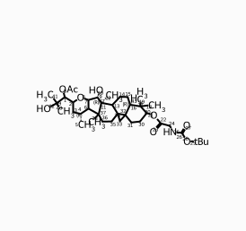 CC(=O)OC(C1C[C@@H](C)C2C(O1)[C@H](O)[C@@]1(C)C3CC[C@H]4C(C)(C)C(OC(=O)CNC(=O)OC(C)(C)C)CCC45CC35CCC21C)C(C)(C)O